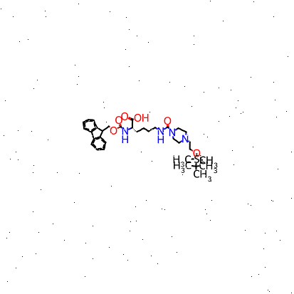 CC(C)(C)[Si](C)(C)OCCN1CCN(C(=O)NCCCC[C@H](NC(=O)OCC2c3ccccc3-c3ccccc32)C(=O)O)CC1